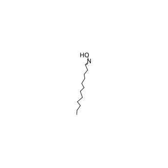 CCCCCCCCCCCC=NO